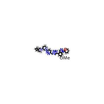 COc1cc(-c2cn(Cc3ccc(N4CCCC(N5CCC6(CCC6)C5)C4)nn3)nn2)c2cnn(C3CCCCO3)c2c1